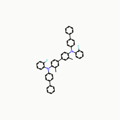 Cc1cc(-c2ccc(N(c3ccc(-c4ccccc4)cc3)c3ccccc3F)c(C)c2)ccc1N(c1ccc(-c2ccccc2)cc1)c1ccccc1F